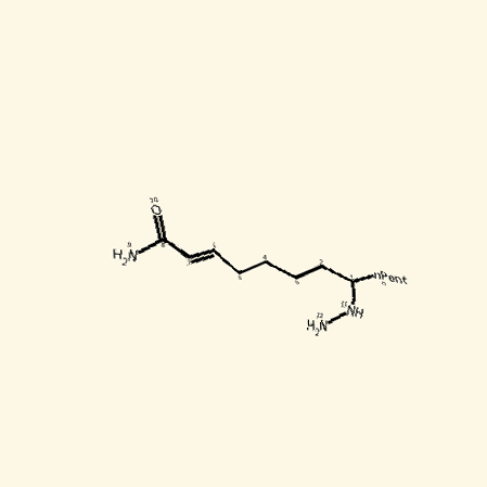 CCCCCC(CCCCC=CC(N)=O)NN